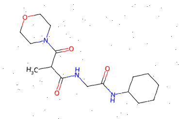 CC(C(=O)NCC(=O)NC1CCCCC1)C(=O)N1CCOCC1